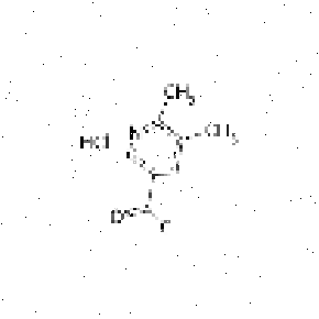 Cc1cc(C(=O)Cl)cnc1C.Cl